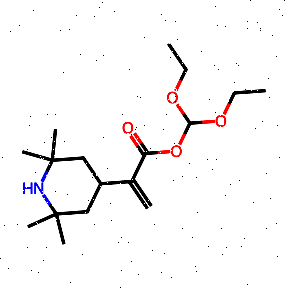 C=C(C(=O)OC(OCC)OCC)C1CC(C)(C)NC(C)(C)C1